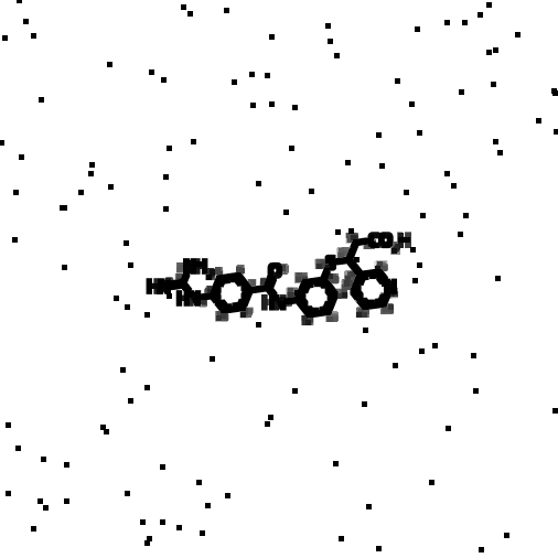 N=C(N)Nc1ccc(C(=O)Nc2cccc(SC(CC(=O)O)c3cccnc3)c2)cc1